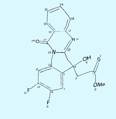 COC(=O)CC1(O)c2cc(F)c(F)cc2-n2c1nc1ccccc1c2=O